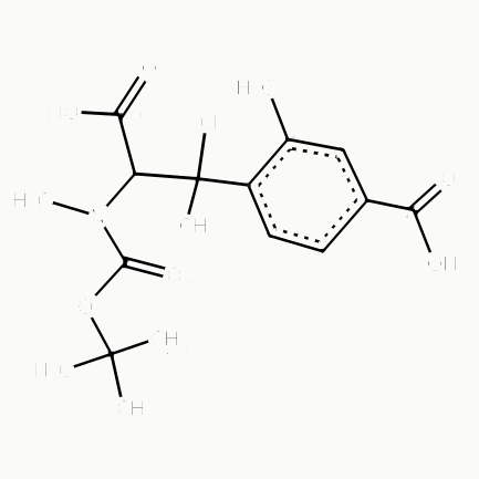 Cc1cc(C(=O)O)ccc1C(C)(C)C(C(=O)O)N(C)C(=O)OC(C)(C)C